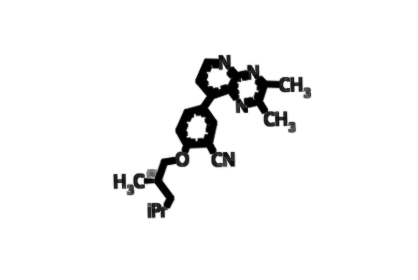 Cc1nc2nccc(-c3ccc(OC[C@H](C)CC(C)C)c(C#N)c3)c2nc1C